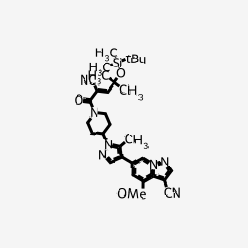 COc1cc(-c2cnn(C3CCN(C(=O)C(C#N)=CC(C)(C)O[Si](C)(C)C(C)(C)C)CC3)c2C)cn2ncc(C#N)c12